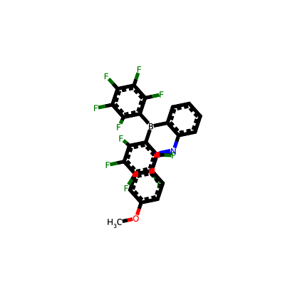 COc1ccc(N=Nc2ccccc2B(c2c(F)c(F)c(F)c(F)c2F)c2c(F)c(F)c(F)c(F)c2F)cc1